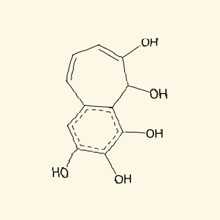 OC1=CC=Cc2cc(O)c(O)c(O)c2C1O